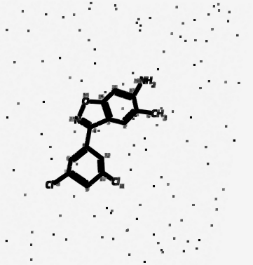 Cc1cc2c(-c3cc(Cl)cc(Cl)c3)noc2cc1N